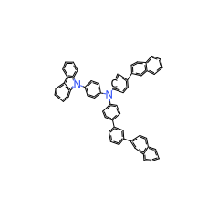 c1cc(-c2ccc(N(c3ccc(-c4ccc5ccccc5c4)cc3)c3ccc(-n4c5ccccc5c5ccccc54)cc3)cc2)cc(-c2ccc3ccccc3c2)c1